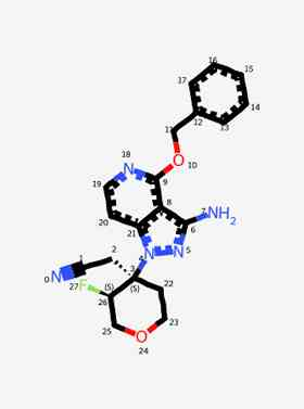 N#CC[C@]1(n2nc(N)c3c(OCc4ccccc4)nccc32)CCOC[C@H]1F